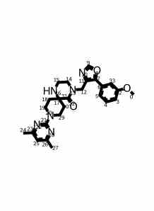 COc1cccc(-c2ocnc2CN2CCNC3(CCN(c4nc(C)cc(C)n4)CC3)C2=O)c1